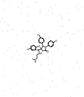 Cc1ccc(SC2(C(=O)NCCN(C)C)CC(=O)N(c3ccc(Cl)cc3)C2c2ccc(Cl)cc2)cc1